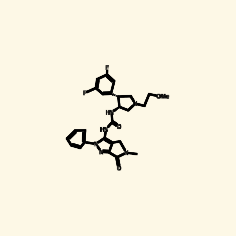 COCCN1C[C@@H](NC(=O)Nc2c3c(nn2-c2ccccc2)C(=O)N(C)C3)[C@H](c2cc(F)cc(F)c2)C1